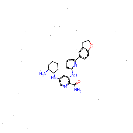 NC(=O)c1ncc(N[C@@H]2CCCC[C@@H]2N)cc1Nc1cccc(-c2ccc3c(c2)CCO3)n1